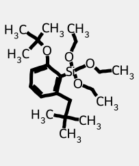 CCO[Si](OCC)(OCC)c1c(CC(C)(C)C)cccc1OC(C)(C)C